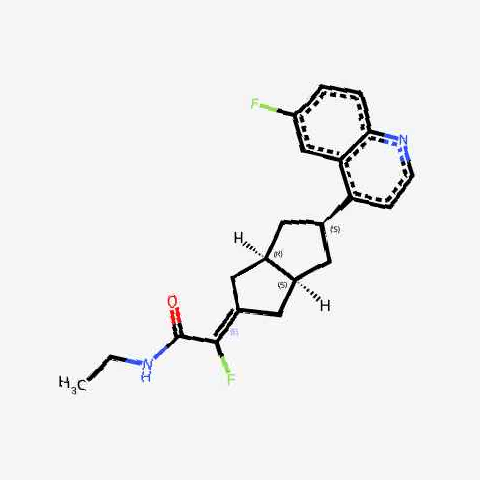 CCNC(=O)/C(F)=C1/C[C@@H]2C[C@H](c3ccnc4ccc(F)cc34)C[C@@H]2C1